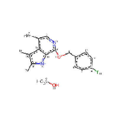 CCCc1cnc(OCc2ccc(F)cc2)c2[nH]c(C)c(C)c12.O=S(=O)(O)O